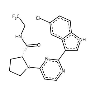 O=C(NCC(F)(F)F)[C@H]1CCCN1c1ccnc(-c2c[nH]c3ccc(Cl)cc23)n1